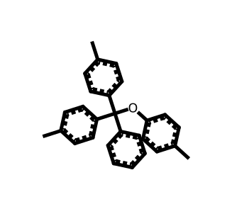 Cc1ccc(OC(c2ccccc2)(c2ccc(C)cc2)c2ccc(C)cc2)cc1